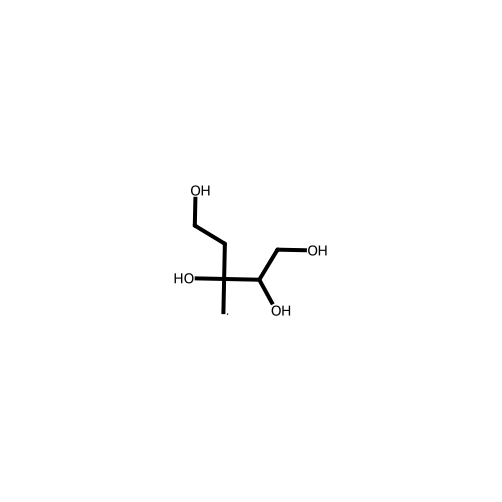 [CH2]C(O)(CCO)C(O)CO